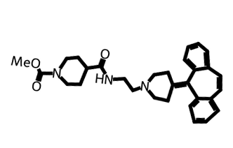 COC(=O)N1CCC(C(=O)NCCN2CCC(=C3c4ccccc4C=Cc4ccccc43)CC2)CC1